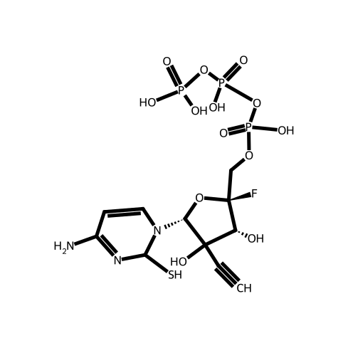 C#CC1(O)[C@@H](O)[C@@](F)(COP(=O)(O)OP(=O)(O)OP(=O)(O)O)O[C@H]1N1C=CC(N)=NC1S